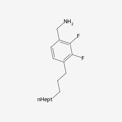 CCCCCCCCCCc1ccc(CN)c(F)c1F